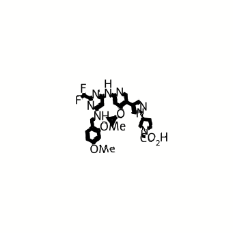 COc1ccc(CNc2cc(Nc3cc(OC4CC4)c(-c4cnn(C5CCN(C(=O)O)C5)c4)cn3)nc(C(F)F)n2)c(OC)c1